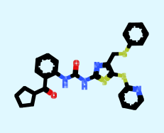 O=C(Nc1nc(CSc2ccccc2)c(Sc2ccccn2)s1)Nc1ccccc1C(=O)C1CCCC1